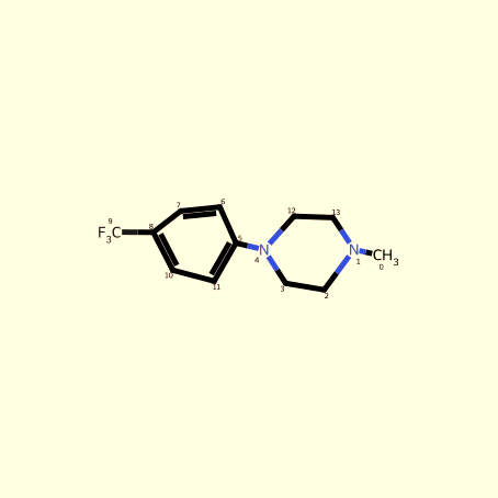 CN1CCN(c2ccc(C(F)(F)F)cc2)CC1